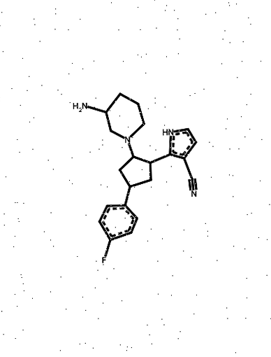 N#Cc1cc[nH]c1C1CC(c2ccc(F)cc2)CC1N1CCCC(N)C1